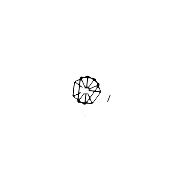 C.CO.[CH]12[CH]3[CH]4[CH]5[CH]1[Fe]23451678[CH]2[CH]1[CH]6[CH]7[CH]28